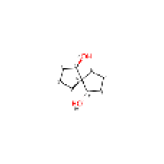 O[C@@H]1CCC[C@]12CCC[C@@H]2O